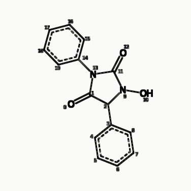 O=C1C(c2ccccc2)N(O)C(=O)N1c1ccccc1